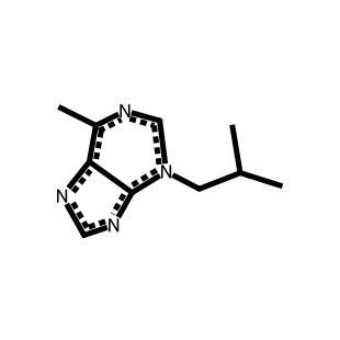 Cc1ncn(CC(C)C)c2ncnc1-2